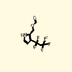 O=COCc1[nH]ccc1C(F)(F)C(F)(F)F